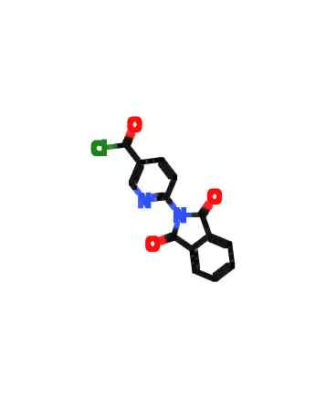 O=C(Cl)c1ccc(N2C(=O)c3ccccc3C2=O)nc1